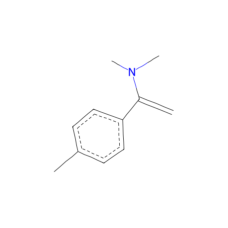 C=C(c1ccc(C)cc1)N(C)C